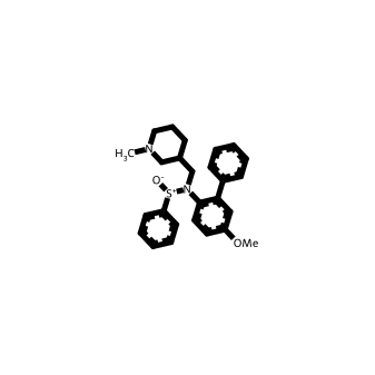 COc1ccc(N(CC2CCCN(C)C2)[S+]([O-])c2ccccc2)c(-c2ccccc2)c1